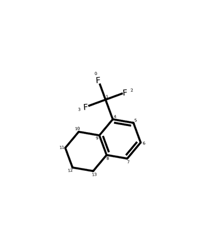 FC(F)(F)c1cccc2c1CCCC2